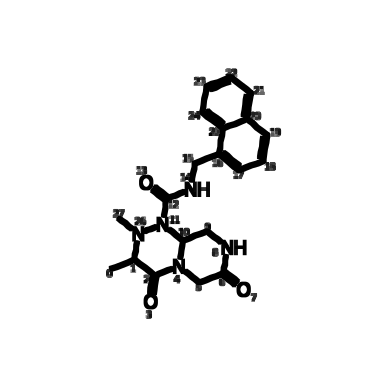 CC1C(=O)N2CC(=O)NCC2N(C(=O)NCc2cccc3ccccc23)N1C